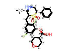 C[C@@H]1NC[C@@H](c2ccccc2)S(=O)(=O)C1Cc1cc(F)c([C@H]2COCC[C@@H]2C(=O)O)cc1F